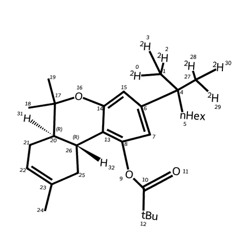 [2H]C([2H])([2H])C(CCCCCC)(c1cc(OC(=O)C(C)(C)C)c2c(c1)OC(C)(C)[C@@H]1CC=C(C)C[C@@H]21)C([2H])([2H])[2H]